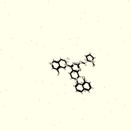 C[C@H]1Cc2cncc(F)c2CN1c1nc(OC[C@@H]2CCCN2C)nc2c1CCN(c1cccc3cccc(Cl)c13)C2